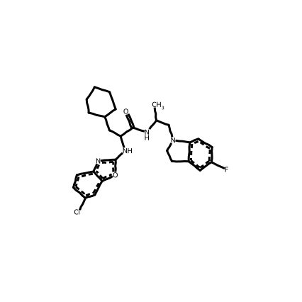 CC(CN1CCc2cc(F)ccc21)NC(=O)C(CC1CCCCC1)Nc1nc2ccc(Cl)cc2o1